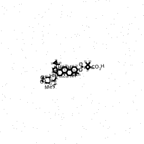 CSC[C@@H](CN[C@]12CC[C@@H](C3(C)CC3)[C@@H]1[C@H]1CC[C@@H]3[C@@]4(C)CC[C@H](OC(=O)[C@H]5C[C@@H](C(=O)O)C5(C)C)C(C)(C)[C@@H]4CC[C@@]3(C)[C@]1(C)CC2)N1CCS(=O)(=O)CC1